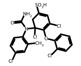 Cc1cc(Cl)ccc1N(C(N)=O)C1(Cl)CC(S(=O)(=O)O)=CC(Cl)=C1Oc1ccccc1Cl